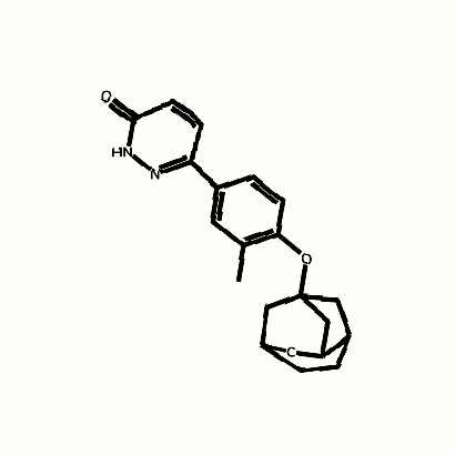 Cc1cc(-c2ccc(=O)[nH]n2)ccc1OC12CC3CCC(C1)C(C3)C2